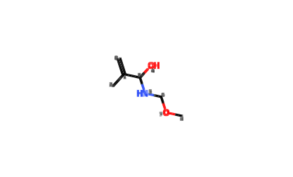 C=C(C)C(O)NCOC